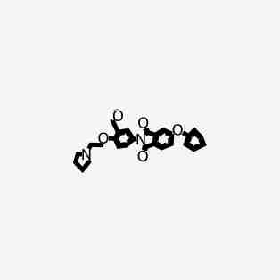 COCc1cc(N2C(=O)c3ccc(Oc4ccccc4)cc3C2=O)ccc1OCCN1CCCC1